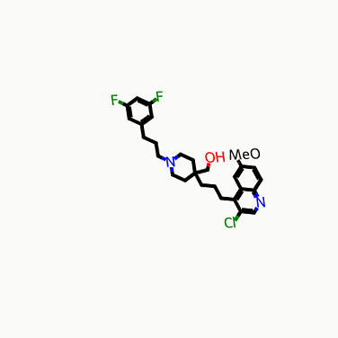 COc1ccc2ncc(Cl)c(CCCC3(CO)CCN(CCCc4cc(F)cc(F)c4)CC3)c2c1